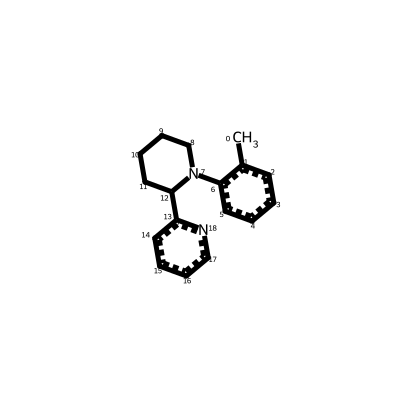 Cc1ccccc1N1CCCCC1c1ccccn1